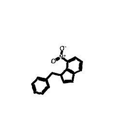 O=[N+]([O-])c1cccc2c1C(Cc1ccccc1)C=C2